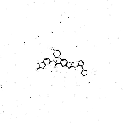 CN1CCN(c2cc3[nH]c(Nc4nccn4C4CCCC4)nc3cc2C(=O)Nc2ccc3c(c2)CC(=O)N3)CC1